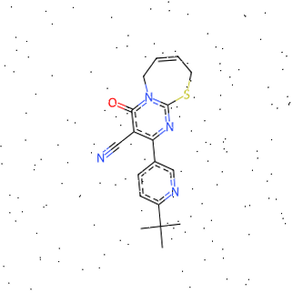 CC(C)(C)c1ccc(-c2nc3n(c(=O)c2C#N)CC=CCS3)cn1